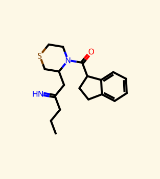 CCCC(=N)CC1CSCCN1C(=O)C1CCc2ccccc21